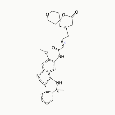 COc1cc2ncnc(N[C@H](C)c3ccccc3)c2cc1NC(=O)/C=C/CN1CC(=O)OC2(CCOCC2)C1